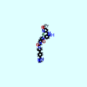 CC(C)Oc1ccc(-c2n[nH]c3ccc(N4CCC5(CCN(CC(=O)N6CC=C(c7ccc(-c8ncn(C)n8)cc7)CC6)C5)C4=O)c(F)c23)cn1